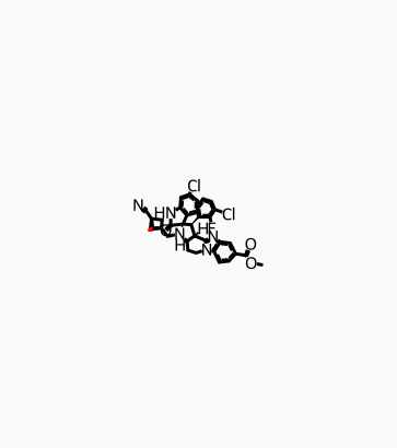 COC(=O)c1ccc2c(c1)nc1n2CC[C@H]2[C@@H]1[C@H](c1cccc(Cl)c1F)[C@]1(C(=O)Nc3cc(Cl)ccc31)N2CC12CC(C#N)(C1)C2